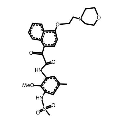 COc1c(NC(=O)C(=O)c2ccc(OCCN3CCOCC3)c3ccccc23)cc(C)cc1NS(C)(=O)=O